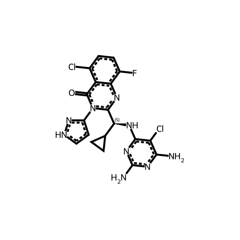 Nc1nc(N)c(Cl)c(N[C@H](c2nc3c(F)ccc(Cl)c3c(=O)n2-c2cc[nH]n2)C2CC2)n1